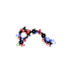 COc1ccc(CC2NC(=O)/C=C/C[C@@H]([C@H](C)[C@H]3O[C@@H]3c3ccc(CNC(=O)OCc4ccc(NC(=O)[C@H](C)NC(=O)[C@@H](N)C(C)C)cc4)cc3)OC(=O)[C@H](CC(C)C)OC(=O)C(C)(C)CNC2=O)cc1Cl